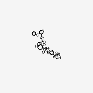 O=C(N[C@H]1CCC[C@H]2CC[C@@H](C(=O)N3CC(c4cnccc4Oc4ccccc4)C3)N2C1=O)c1cc2cc(C(F)P(=O)(O)O)ccc2s1